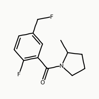 CC1CCCN1C(=O)c1cc(CF)ccc1F